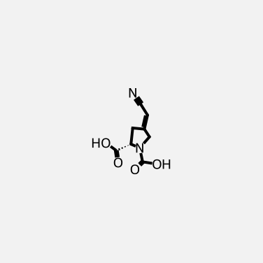 N#C/C=C1\C[C@@H](C(=O)O)N(C(=O)O)C1